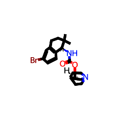 CC1(C)CCc2cc(Br)ccc2[C@@H]1NC(=O)O[C@H]1CN2CCC1CC2